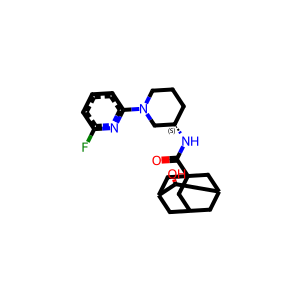 O=C(N[C@H]1CCCN(c2cccc(F)n2)C1)C12CC3CC(C1)C(O)C(C3)C2